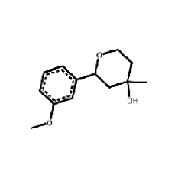 COc1cccc(C2CC(C)(O)CCO2)c1